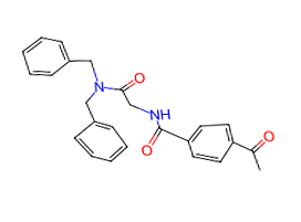 CC(=O)c1ccc(C(=O)NCC(=O)N(Cc2ccccc2)Cc2ccccc2)cc1